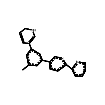 Cc1cc(C2=CNCC=C2)cc(-c2ccc(-c3ccccn3)nc2)c1